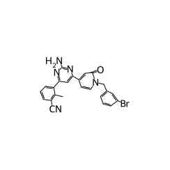 Cc1c(C#N)cccc1-c1cc(-c2ccn(Cc3cccc(Br)c3)c(=O)c2)nc(N)n1